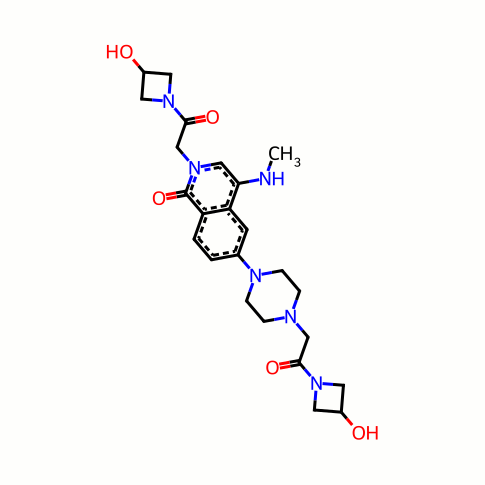 CNc1cn(CC(=O)N2CC(O)C2)c(=O)c2ccc(N3CCN(CC(=O)N4CC(O)C4)CC3)cc12